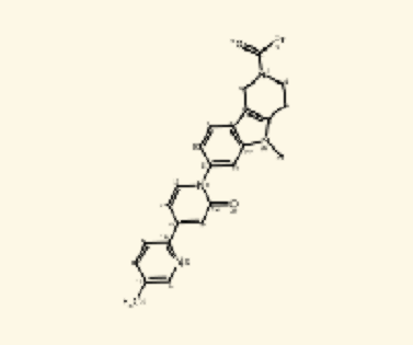 CCC(=O)N1CCc2c(c3ccc(-n4ccc(-c5ccc(C(F)(F)F)cn5)cc4=O)cc3n2C)C1